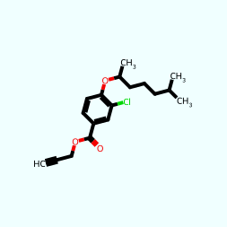 C#CCOC(=O)c1ccc(OC(C)CCCC(C)C)c(Cl)c1